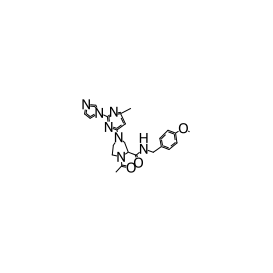 COc1ccc(CNC(=O)C2CN(c3cc(C)nc(-n4ccnc4)n3)CCN2C(C)=O)cc1